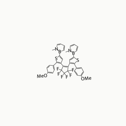 COc1ccc(-c2sc(B3C=CC=CN3C)cc2C2=C(c3cc(B4C=CC=CN4C)sc3-c3ccc(OC)cc3)C(F)(F)C(F)(F)C2(F)F)cc1